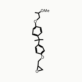 COC(C)COc1ccc(C(C)(C)c2ccc(OCC3CO3)cc2)cc1